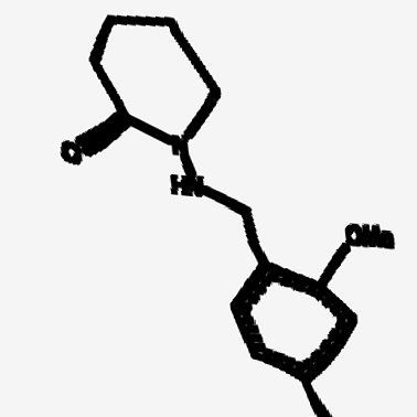 COc1cc(C(F)(F)F)ccc1CNN1CCCCC1=O